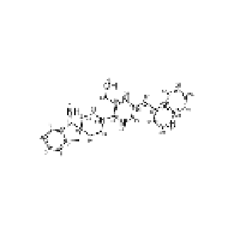 N[C@@H]1c2ccccc2CC12CCN(c1ncc(Sc3ccnc4ccccc34)nc1CO)CC2